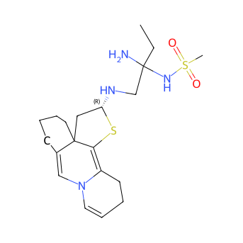 CCC(N)(CN[C@H]1CC23CCCCC2=CN2C=CCCC2=C3S1)NS(C)(=O)=O